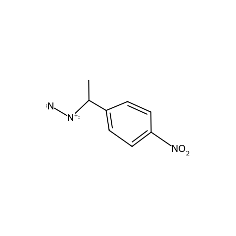 CC([N+][N])c1ccc([N+](=O)[O-])cc1